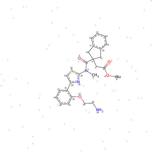 CN(C(=O)C1(CC(=O)OC(C)(C)C)Cc2ccccc2C1)c1nc(-c2ccccc2OCCN)cs1